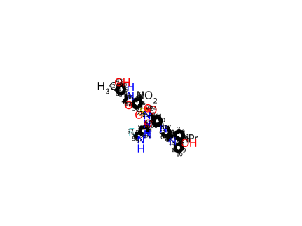 CC(C)c1ccccc1C1(O)CCCC1N1CC2(CCN(c3ccc(C(=O)NS(=O)(=O)c4cc5c(c([N+](=O)[O-])c4)N[C@@H](C4CCC(C)(O)CC4)CO5)c(Oc4cnc5[nH]cc(F)c5c4)c3)CC2)C1